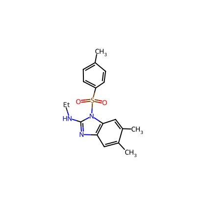 CCNc1nc2cc(C)c(C)cc2n1S(=O)(=O)c1ccc(C)cc1